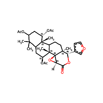 CC(=O)OC1C[C@H](OC(C)=O)[C@@]2(C)C(C[C@H](OC(C)=O)[C@]3(C)C2CC[C@@]2(C)[C@H](c4ccoc4)OC(=O)[C@H]4O[C@]423)C1(C)C